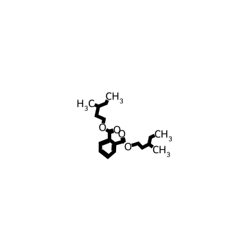 CCC(C)CCOC(=O)c1ccccc1C(=O)OCCC(C)CC